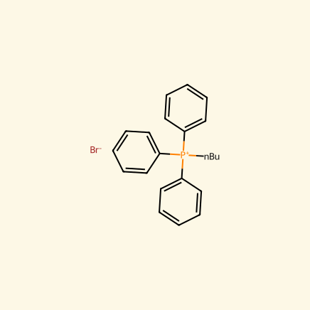 CCCC[P+](c1ccccc1)(c1ccccc1)c1ccccc1.[Br-]